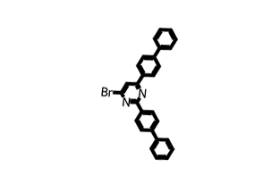 Brc1cc(-c2ccc(-c3ccccc3)cc2)nc(-c2ccc(-c3ccccc3)cc2)n1